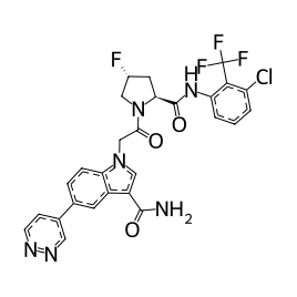 NC(=O)c1cn(CC(=O)N2C[C@H](F)C[C@H]2C(=O)Nc2cccc(Cl)c2C(F)(F)F)c2ccc(-c3ccnnc3)cc12